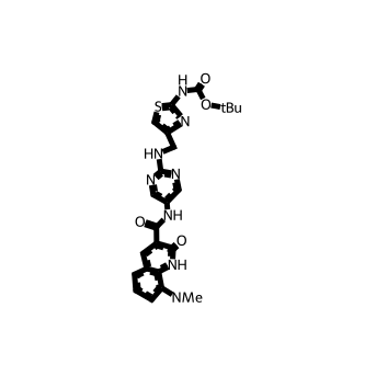 CNc1cccc2cc(C(=O)Nc3cnc(NCc4csc(NC(=O)OC(C)(C)C)n4)nc3)c(=O)[nH]c12